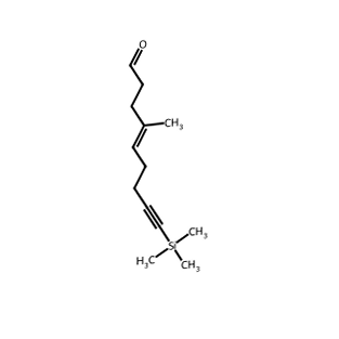 C/C(=C\CCC#C[Si](C)(C)C)CCC=O